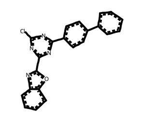 Clc1nc(-c2ccc(-c3ccccc3)cc2)nc(-c2nc3ccccc3o2)n1